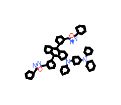 c1ccc(-c2nnc(-c3cccc(-c4c5ccccc5c(-c5cccc(-c6nnc(-c7ccccc7)o6)c5)c5cc(N(c6ccccc6)c6ccc(N(c7ccccc7)c7ccccc7)cc6)ccc45)c3)o2)cc1